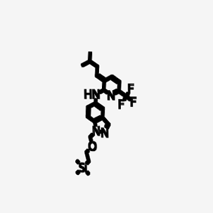 CC(C)CC=C1C=CC(C(F)(F)F)=NC1Nc1ccc2c(cnn2COCC[Si](C)(C)C)c1